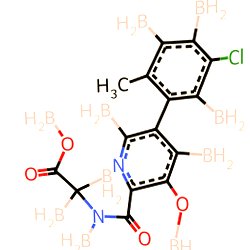 BOC(=O)C(B)(B)N(B)C(=O)c1nc(B)c(-c2c(B)c(Cl)c(B)c(B)c2C)c(B)c1OB